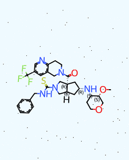 CO[C@@H]1COCC[C@@H]1N[C@@H]1C[C@H]2CN(C(=S)NCc3ccccc3)C[C@@]2(C(=O)N2CCc3ncc(C(F)(F)F)cc3C2)C1